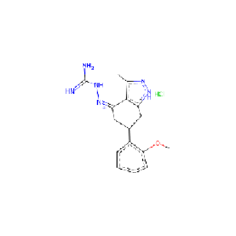 COc1ccccc1C1C/C(=N/NC(=N)N)c2c(C)n[nH]c2C1.Cl